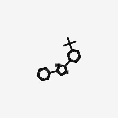 CC(C)(C)c1cccc(-c2ncc(-c3ccccc3)[nH]2)c1